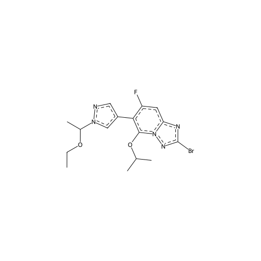 CCOC(C)n1cc(-c2c(F)cc3nc(Br)nn3c2OC(C)C)cn1